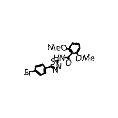 COc1cccc(OC)c1C(=O)Nc1nnc(-c2ccc(Br)cc2)s1